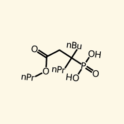 CCCCC(CCC)(CC(=O)OCCC)P(=O)(O)O